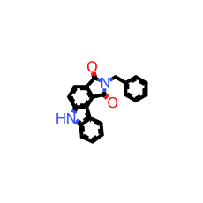 O=C1c2ccc3[nH]c4ccccc4c3c2C(=O)N1Cc1ccccc1